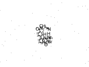 CN(CCC#N)C(=O)c1ccc(C2=CC=CN3C(=O)C(Br)=C(NF)NC23)cc1